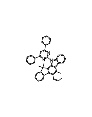 C/C=C\c1c2c(c3c(c1C)c1ccccc1n3-c1nc(-c3ccccc3)cc(-c3ccccc3)n1)C(C)(C)c1ccccc1-2